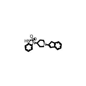 O=S1(=O)Nc2ccccc2N1C1CCN(C2=Cc3ccccc3C2)CC1